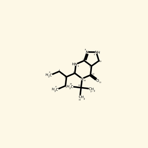 CCC(CC)C1NC2=NNCC2C(=O)N1C(C)(C)C